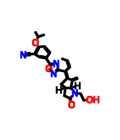 C=C1/C(=C(\C=C/C)c2noc(-c3ccc(OC(C)C)c(C#N)c3)n2)C[C@H]2CC(=O)N(CCO)[C@@H]12